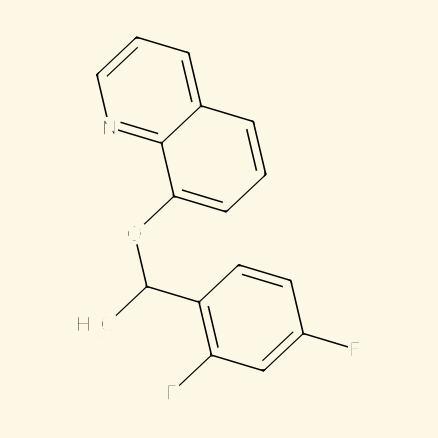 CC(Oc1cccc2cccnc12)c1ccc(F)cc1F